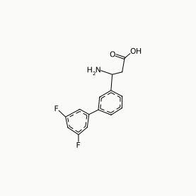 NC(CC(=O)O)c1cccc(-c2cc(F)cc(F)c2)c1